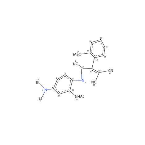 CCN(CC)c1ccc(/N=C(\C#N)C(=C(C#N)C#N)c2ccccc2OC)c(NC(C)=O)c1